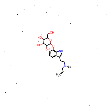 C=CCN(CC)CCc1c[nH]c2c(OC3OC(CO)C(O)C(O)C3O)cccc12